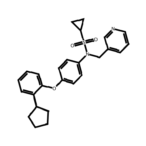 O=S(=O)(C1CC1)N(Cc1cccnc1)c1ccc(Oc2ccccc2C2CCCC2)cc1